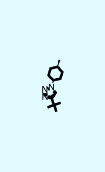 CC(C)(C)c1cn([C@H]2CC[C@H](C)CC2)nn1